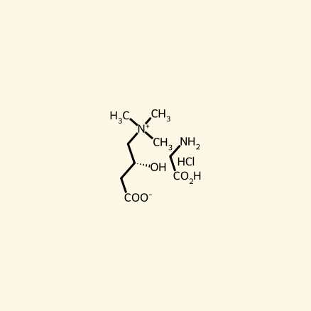 C[N+](C)(C)C[C@H](O)CC(=O)[O-].Cl.NCC(=O)O